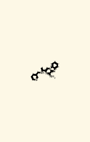 C=C(NCc1cccnc1)c1cn2c(nc3ccccc32)c(N)n1